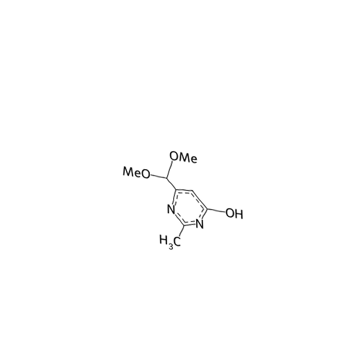 COC(OC)c1cc(O)nc(C)n1